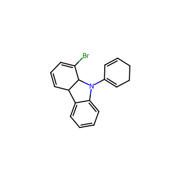 BrC1=CC=CC2c3ccccc3N(C3=CCCC=C3)C12